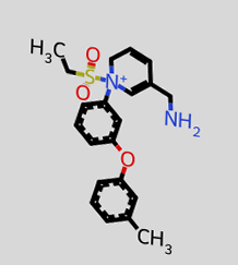 CCS(=O)(=O)[N+]1(c2cccc(Oc3cccc(C)c3)c2)C=C(CN)C=CC1